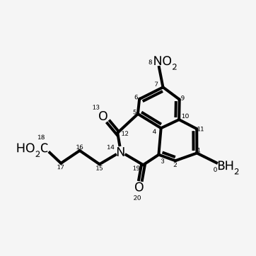 Bc1cc2c3c(cc([N+](=O)[O-])cc3c1)C(=O)N(CCCC(=O)O)C2=O